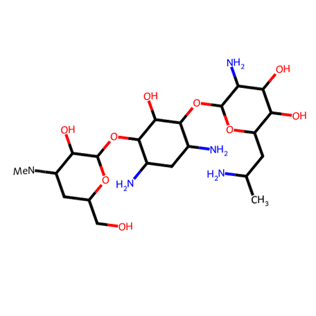 CNC1CC(CO)OC(OC2C(N)CC(N)C(OC3OC(CC(C)N)C(O)C(O)C3N)C2O)C1O